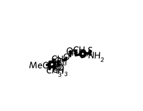 COc1cc(C)c(S(=O)(=O)NCCOCC(=O)N(C)Cc2ccc(C(N)=S)cc2)c(C)c1C